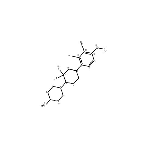 CCCC1CCC(C2CCC(c3ccc(OCC)c(F)c3F)CC2(F)F)CO1